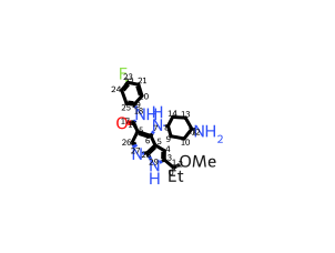 CCC(OC)c1cc2c(N[C@H]3CC[C@H](N)CC3)c(C(=O)Nc3ccc(F)cc3)cnc2[nH]1